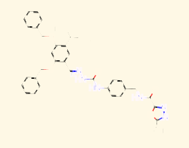 Cc1nnc(C(=O)NCc2ccc(NC(=O)N/N=C/c3cc(C(C)C)c(OCc4ccccc4)cc3OCc3ccccc3)cc2)o1